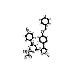 Cn1cc(-c2ccc(OCc3ccccc3)cc2)c(-c2cc(-c3ccc(F)cc3)nc(S(C)(=O)=O)n2)n1